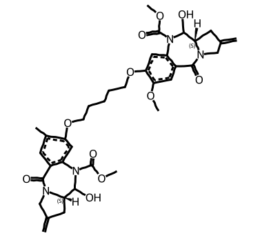 C=C1C[C@H]2C(O)N(C(=O)OC)c3cc(OCCCCCOc4cc5c(cc4OC)C(=O)N4CC(=C)C[C@H]4C(O)N5C(=O)OC)c(C)cc3C(=O)N2C1